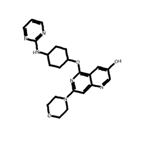 Oc1cnc2cc(N3CCOCC3)nc(OC3CCC(Nc4ncccn4)CC3)c2c1